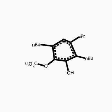 CCCCc1cc(C(C)C)c(CCCC)c(O)c1OC(=O)O